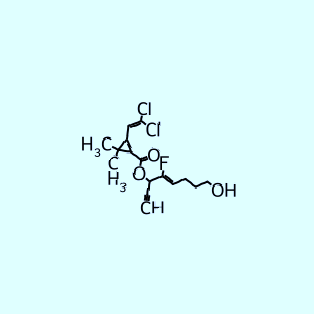 C#CC(OC(=O)C1C(C=C(Cl)Cl)C1(C)C)C(F)=CCCCO